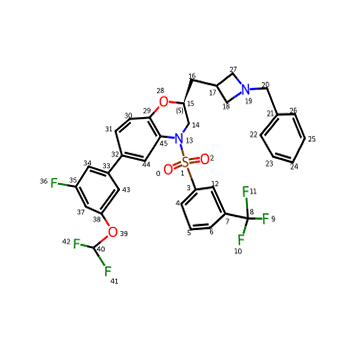 O=S(=O)(c1cccc(C(F)(F)F)c1)N1C[C@H](CC2CN(Cc3ccccc3)C2)Oc2ccc(-c3cc(F)cc(OC(F)F)c3)cc21